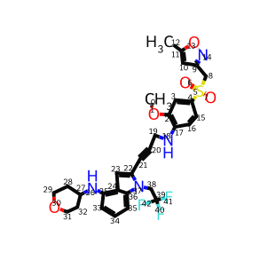 COc1cc(S(=O)(=O)Cc2cc(C)on2)ccc1NCC#Cc1cc2c(NC3CCOCC3)cccc2n1CC(F)(F)F